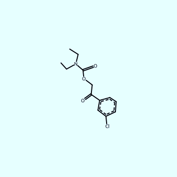 CCN(CC)C(=O)OCC(=O)c1cccc(Cl)c1